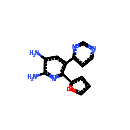 Nc1cc(-c2ccncn2)c(-c2ccco2)nc1N